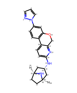 c1cnn(-c2ccc3c(c2)OCc2nc(N[C@@H]4C[C@H]5CC[C@@H](C4)N5)ccc2-3)c1